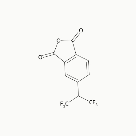 O=C1OC(=O)c2cc(C(C(F)(F)F)C(F)(F)F)ccc21